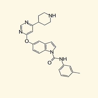 Cc1cccc(NC(=O)n2ccc3cc(Oc4cc(C5CCNCC5)ncn4)ccc32)c1